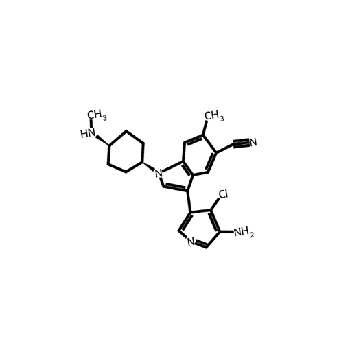 CN[C@H]1CC[C@@H](n2cc(-c3cncc(N)c3Cl)c3cc(C#N)c(C)cc32)CC1